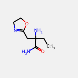 CCC(N)(CC1=NCCO1)C(N)=O